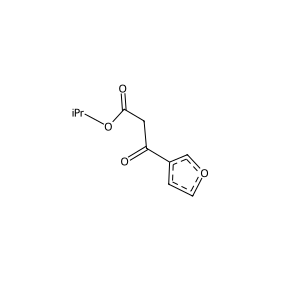 CC(C)OC(=O)CC(=O)c1ccoc1